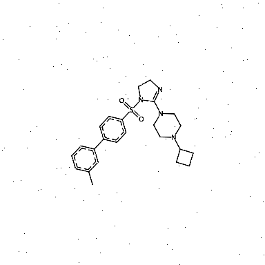 Cc1cccc(-c2ccc(S(=O)(=O)N3CCN=C3N3CCN(C4CCC4)CC3)cc2)c1